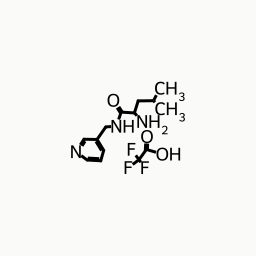 CC(C)CC(N)C(=O)NCc1cccnc1.O=C(O)C(F)(F)F